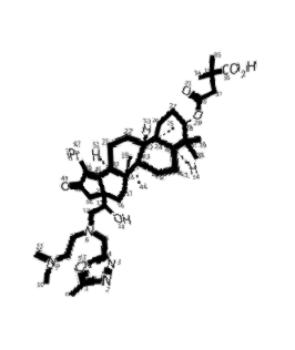 Cc1nnc(CN(CCN(C)C)CC(O)C23CC[C@]4(C)[C@H](CC[C@@H]5[C@@]6(C)CC[C@H](OC(=O)CC(C)(C)C(=O)O)C(C)(C)[C@H]6CC[C@]54C)C2=C(C(C)C)C(=O)C3)o1